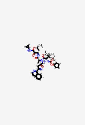 CCC[C@H](NC(=O)[C@@H]1C[C@]2(CC(c3nccc4ccccc34)=NO2)CN1C(=O)[C@@H](NC(=O)OC1CCCC1)C(C)(C)C)C(=O)C(=O)NC1CC1